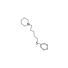 [CH]1CCN(CCCCCSc2ccccc2)CC1